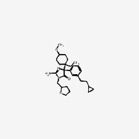 CCC1(C2(c3cccc(CCC4CC4)c3)N=C(N)N(CC3CCCO3)C2=O)CCC(OC)CC1